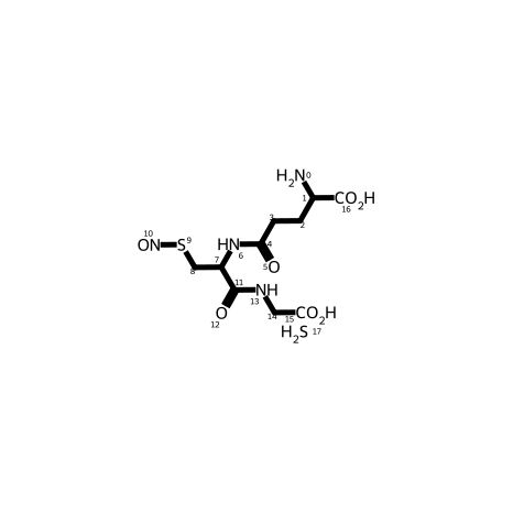 NC(CCC(=O)NC(CSN=O)C(=O)NCC(=O)O)C(=O)O.S